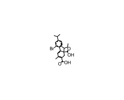 CCC(CC)C1(C(=O)O)CC(C(=O)O)=C(C)C=C1c1ccc(C(C)C)cc1Br